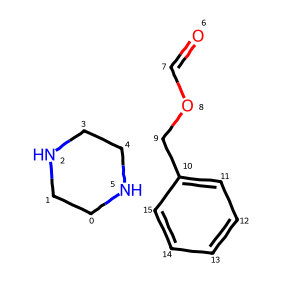 C1CNCCN1.O=COCc1ccccc1